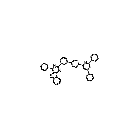 c1ccc(-c2cc(-c3ccccc3)nc(-c3ccc(-c4cccc(-c5nc(-c6ccccc6)c6sc7ccccc7c6n5)c4)cc3)c2)cc1